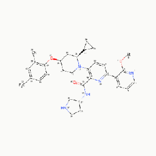 CCOc1ncccc1-c1ccc(N2CC[C@@H](Oc3ccc(C(F)(F)F)cc3C#N)C[C@H]2C2CC2)c(C(=O)N[C@@H]2CCNC2)n1